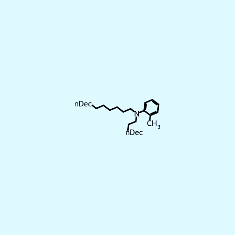 CCCCCCCCCCCCCCCCN(CCCCCCCCCCCC)c1ccccc1C